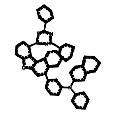 c1ccc(-c2nc(-c3ccccc3)nc(-c3cccc4oc5cc(-c6cccc(N(c7ccccc7)c7ccc8ccccc8c7)c6)c6ccccc6c5c34)n2)cc1